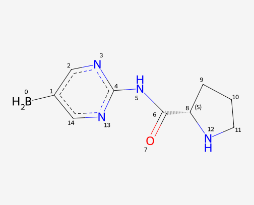 Bc1cnc(NC(=O)[C@@H]2CCCN2)nc1